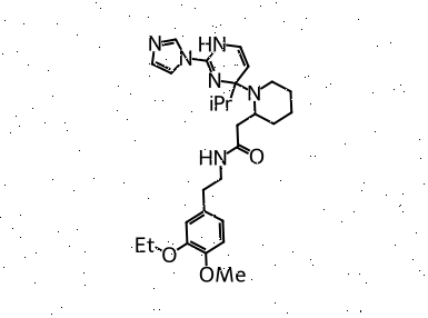 CCOc1cc(CCNC(=O)CC2CCCCN2C2(C(C)C)C=CNC(n3ccnc3)=N2)ccc1OC